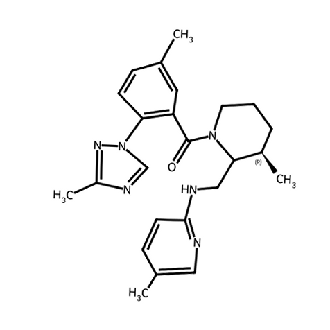 Cc1ccc(NCC2[C@H](C)CCCN2C(=O)c2cc(C)ccc2-n2cnc(C)n2)nc1